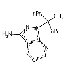 CCCC(C)(CCC)n1nc(N)c2cccnc21